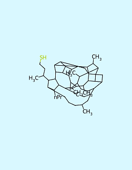 CCCC1C2CCCC(C)CC3CCC4C(C)C5CCC3C3CC67C(C5C)C(C)C5C8C(C9C%10=C%11CC(C8C%119)C56C(C(C)C5CC%105)C37)C(C2C(C)CCS)C41